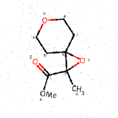 COC(=O)C1(C)OC12CCOCC2